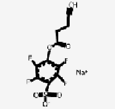 C#CCCC(=O)Oc1c(F)c(F)c(S(=O)(=O)[O-])c(F)c1F.[Na+]